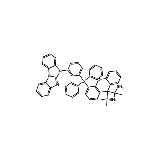 BC(C)(C)C1(C(B)(C)C)c2ccccc2Oc2c1cccc2S(c1ccccc1)(c1ccccc1)c1cccc(-n2c3ccccc3n3c4ccccc4nc23)c1